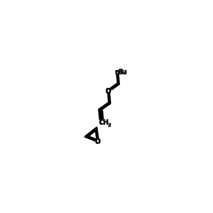 C1CO1.C=CCOCCCCC